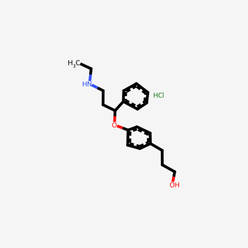 CCNCCC(Oc1ccc(CCCO)cc1)c1ccccc1.Cl